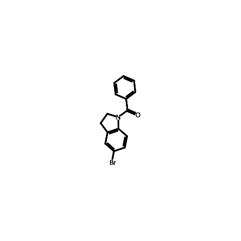 O=C(c1ccccc1)N1CCc2cc(Br)ccc21